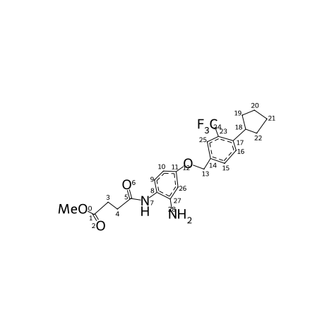 COC(=O)CCC(=O)Nc1ccc(OCc2ccc(C3CCCC3)c(C(F)(F)F)c2)cc1N